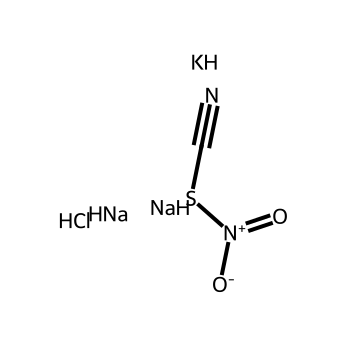 Cl.N#CS[N+](=O)[O-].[KH].[NaH].[NaH]